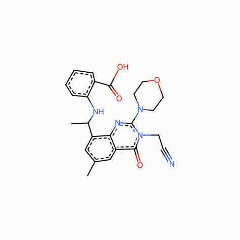 Cc1cc(C(C)Nc2ccccc2C(=O)O)c2nc(N3CCOCC3)n(CC#N)c(=O)c2c1